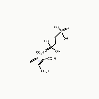 C=CC(=O)O.O=C(O)/C=C\C(=O)O.O=P(O)(O)CCP(=O)(O)O